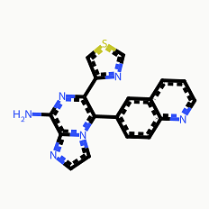 Nc1nc(-c2cscn2)c(-c2ccc3ncccc3c2)n2ccnc12